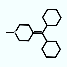 CN1CCC(=C(C2CCCCC2)C2CCCCC2)CC1